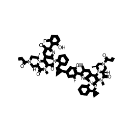 C=CC(=O)N1C[C@@H]2C(=O)N(C)c3c(c4cc(Cl)c(-c5c(O)cc(C6CC6(C)c6ccccc6-n6c(=O)c7c(c8cc(Cl)c(-c9c(O)cccc9F)nc86)N6[C@H](CN(C(=O)C=C)C[C@@H]6C)C(=O)N7C)cc5F)nc4n(-c4ccccc4C4(C)CC4)c3=O)N2[C@@H](C)C1